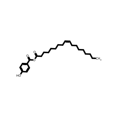 CCCCCCCC/C=C\CCCCCCCC(=O)OC(=O)c1ccc(O)cc1